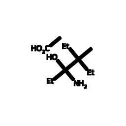 CC(=O)O.CCC(N)(O)C(C)(CC)CC